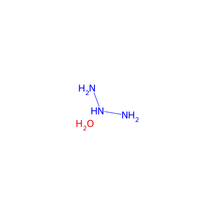 NNN.O